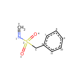 C=NS(=O)(=O)Cc1ccccc1